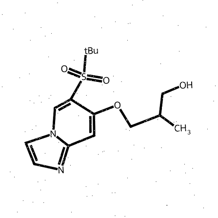 CC(CO)COc1cc2nccn2cc1S(=O)(=O)C(C)(C)C